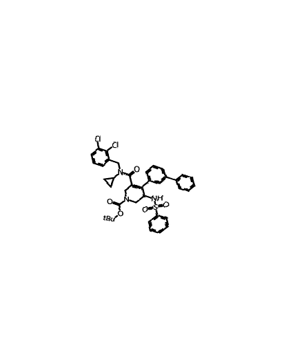 CC(C)(C)OC(=O)N1CC(C(=O)N(Cc2cccc(Cl)c2Cl)C2CC2)=C(c2cccc(-c3ccccc3)c2)C(NS(=O)(=O)c2ccccc2)C1